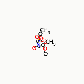 COc1cc(OCc2ccccc2)ccc1C(=O)c1c(-n2cccc2C=O)ccn1S(=O)(=O)c1ccc(C)cc1